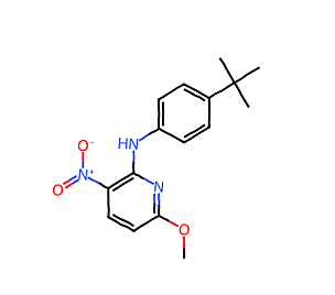 COc1ccc([N+](=O)[O-])c(Nc2ccc(C(C)(C)C)cc2)n1